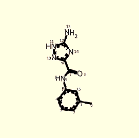 Cc1cccc(NC(=O)c2n[nH]c(N)n2)c1